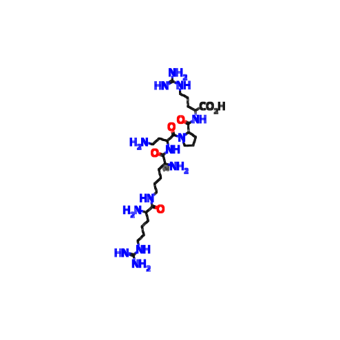 N=C(N)NCCCCC(N)C(=O)NCCCC[C@H](N)C(=O)NC(CCN)C(=O)N1CCCC1C(=O)NC(CCCNC(=N)N)C(=O)O